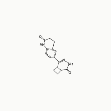 O=C1CCc2cc(C3=NNC(=O)C4CCC34)ccc2N1